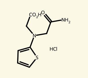 Cl.NC(=O)CN(CC(=O)O)c1cccs1